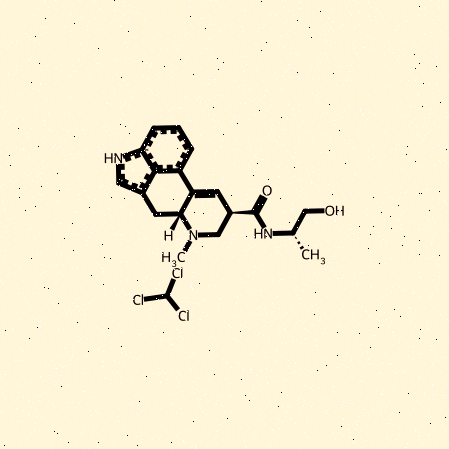 C[C@@H](CO)NC(=O)[C@@H]1C=C2c3cccc4[nH]cc(c34)C[C@H]2N(C)C1.ClC(Cl)Cl